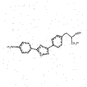 CNC(Cc1ccc(-c2noc(-c3ccc(N)cc3)n2)cc1)C(=O)O